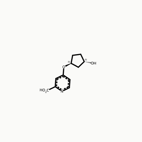 O=C(O)c1cc(O[C@H]2CC[C@H](O)C2)ccn1